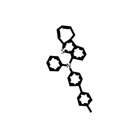 Cc1ccc(-c2ccc(N(c3ccccc3)c3cccc4c5c(sc34)C=CC=CC5)cc2)cc1